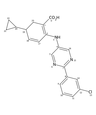 O=C(O)C1=C(Nc2cnc(-c3cccc(Cl)c3)nc2)C=CC(C2CC2)C1